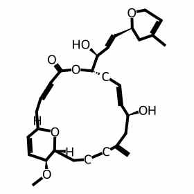 C=C1CCC[C@H]2O[C@@H](C=C[C@@H]2OC)C/C=C\C(=O)O[C@H]([C@@H](O)/C=C/[C@@H]2CC(C)=CCO2)C/C=C/[C@@H](O)C1